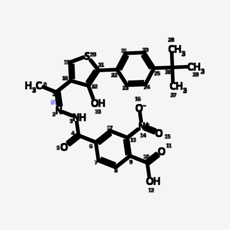 C/C(=N/NC(=O)c1ccc(C(=O)O)c([N+](=O)[O-])c1)c1csc(-c2ccc(C(C)(C)C)cc2)c1O